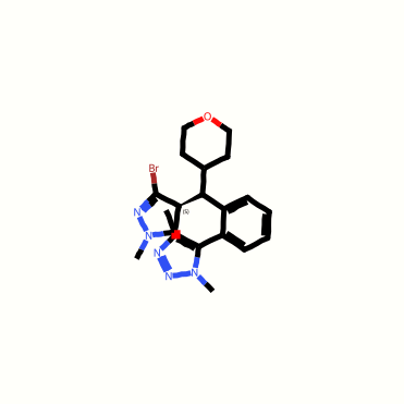 Cc1nnn(C)c1-c1ccccc1C(C1CCOCC1)[C@H]1CN(C)N=C1Br